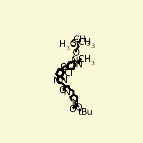 Cc1nc2ccc(Oc3ccc4ncc(-c5cc(CC6CCN(C(=O)OC(C)(C)C)CC6)no5)nc4c3Cl)cc2n1COCC[Si](C)(C)C